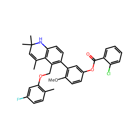 COc1ccc(OC(=O)c2ccccc2Cl)cc1-c1ccc2c(c1COc1cc(F)ccc1C)C(C)=CC(C)(C)N2